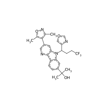 Cc1noc(C)c1-c1cnc2c3ccc(C(C)(C)O)cc3n(C(CCC(F)(F)F)c3cocn3)c2c1